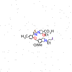 CCO[C@H]1CN(c2nc(-c3cc(C)ccc3OCc3cc4c(c(OC)c3)CN(C(CC)CCI)CC4)cs2)CC[C@H]1C(=O)O